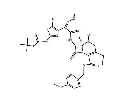 CO/N=C(\C(=O)N[C@@H]1C(=O)N2C(C(=O)OCc3ccc(OC)cc3)=C(CI)C[S+]([O-])[C@H]12)c1nc(NC(=O)OC(C)(C)C)sc1Cl